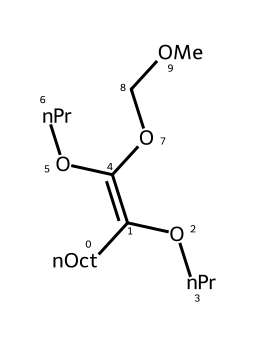 CCCCCCCC/C(OCCC)=C(\OCCC)OCOC